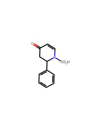 O=C1C=CN(C(=O)O)C(c2ccccc2)C1